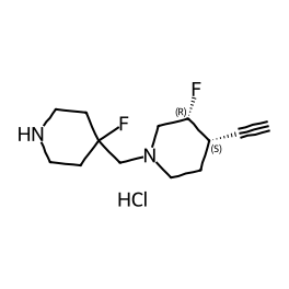 C#C[C@@H]1CCN(CC2(F)CCNCC2)C[C@@H]1F.Cl